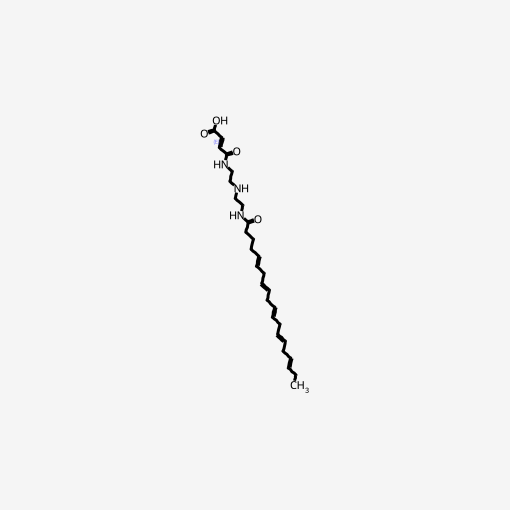 CCC=CCC=CCC=CCC=CCC=CCCCC(=O)NCCNCCNC(=O)/C=C/C(=O)O